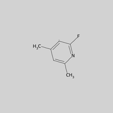 Cc1[c]c(F)nc(C)c1